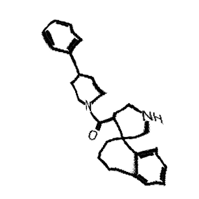 O=C(C1CNCC12CCCc1ccccc12)N1CCC(c2ccccc2)CC1